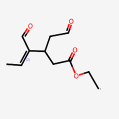 [CH2]COC(=O)CC(CC=O)/C(C=O)=C/C